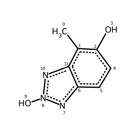 Cc1c(O)ccc2nn(O)nc12